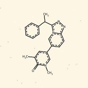 Cc1cc(-c2ccc3nnc(C(C)c4ccccc4)n3c2)cn(C)c1=O